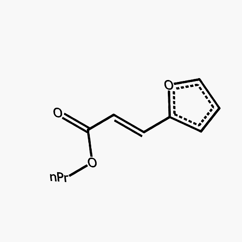 CCCOC(=O)C=Cc1ccco1